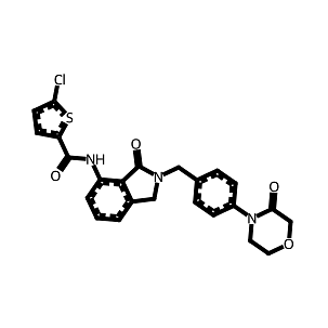 O=C(Nc1cccc2c1C(=O)N(Cc1ccc(N3CCOCC3=O)cc1)C2)c1ccc(Cl)s1